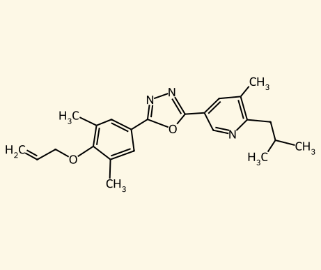 C=CCOc1c(C)cc(-c2nnc(-c3cnc(CC(C)C)c(C)c3)o2)cc1C